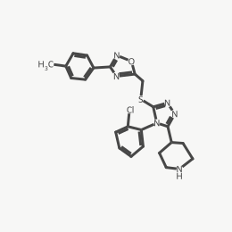 Cc1ccc(-c2noc(CSc3nnc(C4CCNCC4)n3-c3ccccc3Cl)n2)cc1